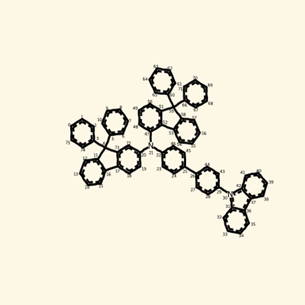 c1ccc(C2(c3ccccc3)c3ccccc3-c3ccc(N(c4ccc(-c5ccc(-n6c7ccccc7c7ccccc76)cc5)cc4)c4cccc5c4-c4ccccc4C5(c4ccccc4)c4ccccc4)cc32)cc1